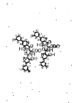 O=C(NC(NC(=O)c1ncc(-c2cccc(F)c2)cc1O)C(=O)[O-])c1ncc(-c2cccc(F)c2)cc1O.O=C(NC(NC(=O)c1ncc(-c2cccc(F)c2)cc1O)C(=O)[O-])c1ncc(-c2cccc(F)c2)cc1O.[Ba+2]